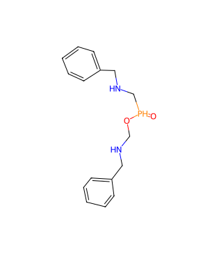 O=[PH](CNCc1ccccc1)OCNCc1ccccc1